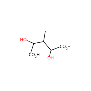 CC(C(O)C(=O)O)C(O)C(=O)O